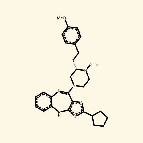 COc1ccc(CC[C@H]2CN(C3=Nc4ccccc4Nc4sc(C5CCCC5)nc43)CCN2C)cc1